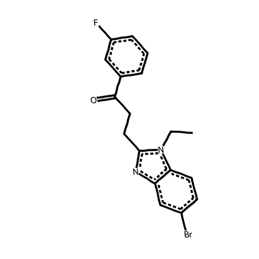 CCn1c(CCC(=O)c2cccc(F)c2)nc2cc(Br)ccc21